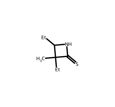 CCC1NC(=S)C1(C)CC